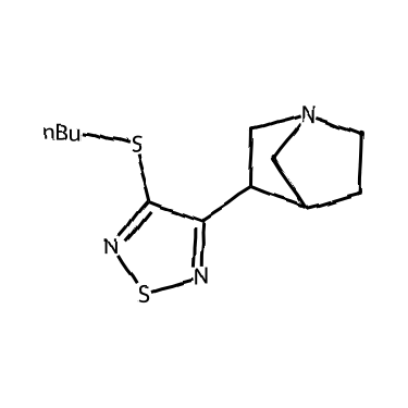 CCCCSc1nsnc1C1CN2CCC1C2